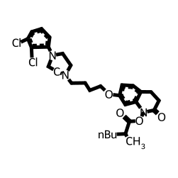 CCCCC(C)C(=O)ON1C(=O)CCc2ccc(OCCCCN3CCN(c4cccc(Cl)c4Cl)CC3)cc21